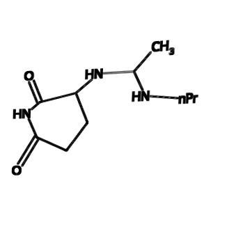 CCCNC(C)NC1CCC(=O)NC1=O